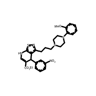 CCOC(=O)C1=CNc2snc(CCCN3CCN(c4ccccc4OC)CC3)c2C1c1cccc([N+](=O)[O-])c1